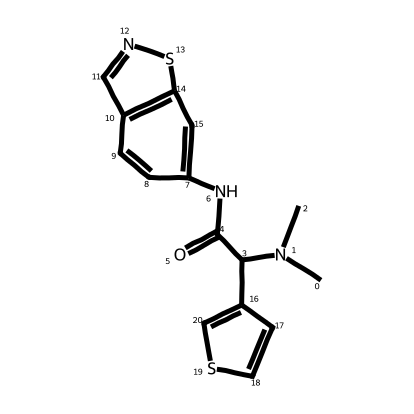 CN(C)C(C(=O)Nc1ccc2cnsc2c1)c1ccsc1